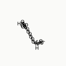 O=C1CCC(N2C(=O)c3ccc(OCCOCCOCCOCCOCCOc4ccc5c(c4)Sc4cc([N+](=O)[O-])ccc4N5)cc3C2=O)C(=O)N1